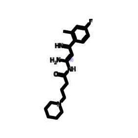 Cc1cc(F)ccc1C(=N)/C=C(\N)NC(=O)CCCN1CCCCC1